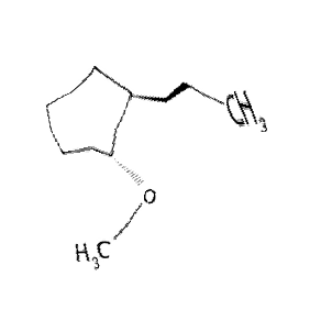 CC[C@@H]1CCC[C@H]1OC